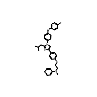 CC(C)Cc1nc(-c2ccc(OCCN(C)c3ccncc3)cc2)cn1-c1ccc(Oc2ccc(Cl)cc2)cc1